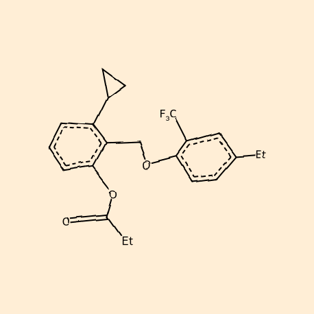 CCC(=O)Oc1cccc(C2CC2)c1COc1ccc(CC)cc1C(F)(F)F